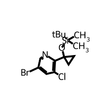 CC(C)(C)[Si](C)(C)OC1(c2ncc(Br)cc2Cl)CC1